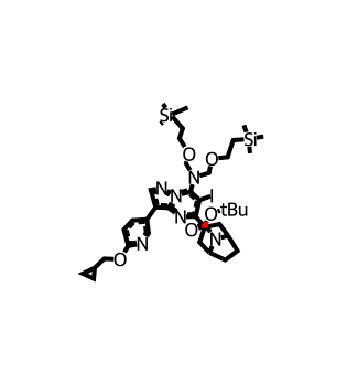 CC(C)(C)OC(=O)N1C2CCC1CC(c1nc3c(-c4ccc(OCC5CC5)nc4)cnn3c(N(COCC[Si](C)(C)C)COCC[Si](C)(C)C)c1I)C2